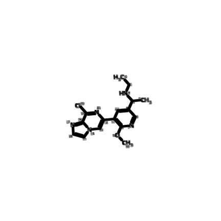 CCNC(C)c1cnc(OC)c(-c2cn3ccnc3c(Cl)n2)c1